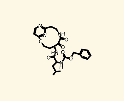 CC(C)CC(NC(=O)OCc1ccccc1)C(=O)NC1CCCc2ccnc(n2)CCNC(=O)C1=O